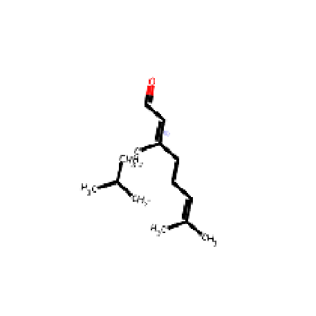 CC(C)=CCC/C(C)=C/C=O.[CH2]C(C)C